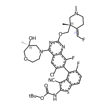 CN1CC/C(=C\F)[C@](C)(COc2nc(N3CCOC[C@@](C)(O)C3)c3cc(Cl)c(-c4c(F)ccc5sc(NC(=O)OC(C)(C)C)c(C#N)c45)c(F)c3n2)C1